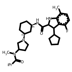 Cc1ccc(F)c2c1NC(C(=O)N[C@@H]1CCC[C@H](N3CCC(N(C)C(=O)C(C)C)C3)C1)C2C1CCCC1